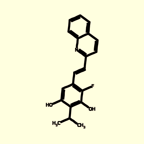 CC(C)c1c(O)cc(C=Cc2ccc3ccccc3n2)c(F)c1O